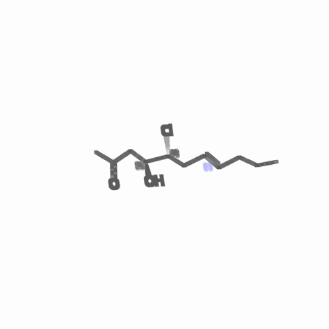 CCC/C=C/C[C@@H](Cl)[C@@H](O)CC(C)=O